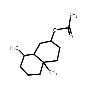 CC(=O)OC1CCC2(C)CCCC(C)C2C1